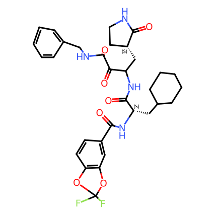 O=C(NCc1ccccc1)C(=O)C(C[C@@H]1CCNC1=O)NC(=O)[C@H](CC1CCCCC1)NC(=O)c1ccc2c(c1)OC(F)(F)O2